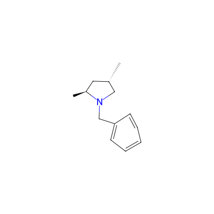 C[C@H]1C[C@H](C)N(Cc2ccccc2)C1